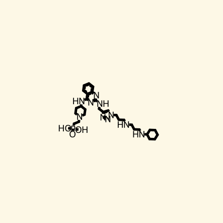 O=P(O)(O)CCN1CCC(Nc2nc(NCc3cn(CCCNCCCNC4CCCCC4)nn3)nc3ccccc23)CC1